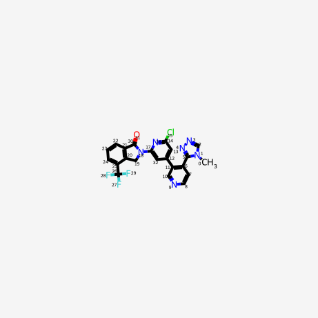 Cn1cnnc1-c1ccncc1-c1cc(Cl)nc(N2Cc3c(cccc3C(F)(F)F)C2=O)c1